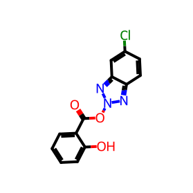 O=C(On1nc2ccc(Cl)cc2n1)c1ccccc1O